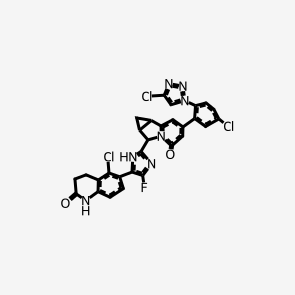 O=C1CCc2c(ccc(-c3[nH]c(C4C5CC5c5cc(-c6cc(Cl)ccc6-n6cc(Cl)nn6)cc(=O)n54)nc3F)c2Cl)N1